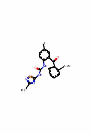 COc1ccccc1C(=O)c1cc(C)ccc1NC(=O)Nc1nc(C)ns1